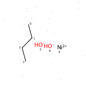 CCCC.[Ni+2].[OH-].[OH-]